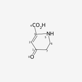 O=C1C=C(C(=O)O)NCC1